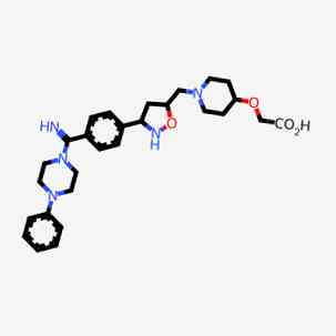 N=C(c1ccc(C2CC(CN3CCC(OCC(=O)O)CC3)ON2)cc1)N1CCN(c2ccccc2)CC1